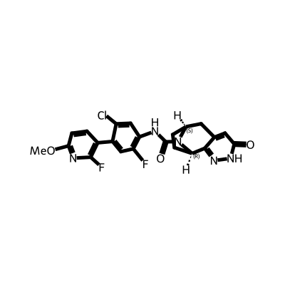 COc1ccc(-c2cc(F)c(NC(=O)N3[C@H]4CC[C@@H]3c3n[nH]c(=O)cc3C4)cc2Cl)c(F)n1